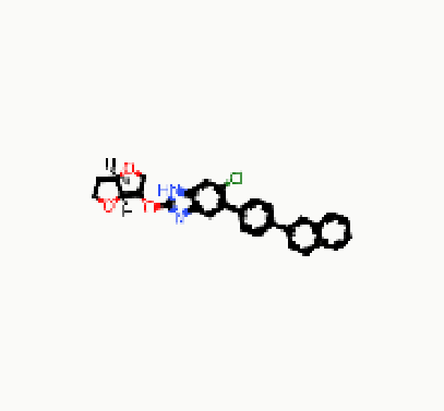 Clc1cc2[nH]c(OC3CO[C@@H]4CCO[C@H]34)nc2cc1-c1ccc(-c2ccc3ccccc3c2)cc1